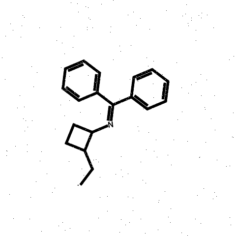 [CH2]CC1CCC1N=C(c1ccccc1)c1ccccc1